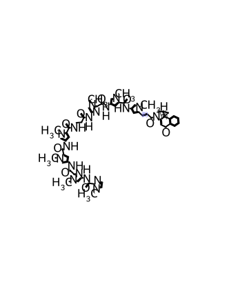 Cn1cc(NC(=O)c2cc(NC(=O)c3nc(NC(=O)CCNC(=O)c4cc(NC(=O)c5cc(NC(=O)c6nc(NC(=O)c7nccn7C)cn6C)cn5C)cn4C)cn3C)cn2C)cc1/C=C/C(=O)N1C[C@H]2C[C@@]23C1=CC(=O)c1ccccc13